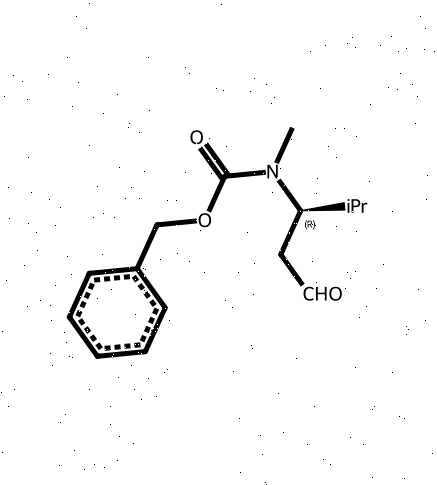 CC(C)[C@@H](CC=O)N(C)C(=O)OCc1ccccc1